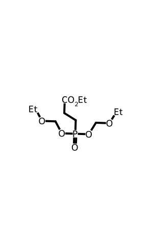 CCOCOP(=O)(CCC(=O)OCC)OCOCC